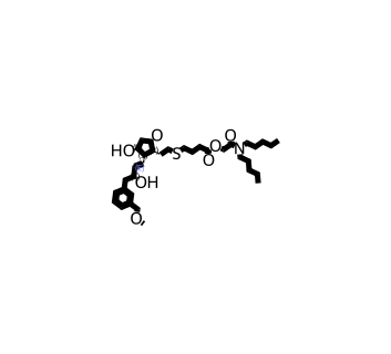 CCCCCN(CCCCC)C(=O)COC(=O)CCCSCC[C@H]1C(=O)C[C@@H](O)[C@H]1/C=C/[C@@H](O)Cc1cccc(COC)c1